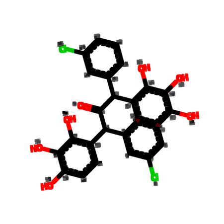 O=C(C(c1cccc(Cl)c1)c1ccc(O)c(O)c1O)C(c1cccc(Cl)c1)c1ccc(O)c(O)c1O